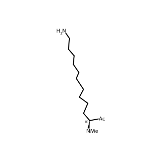 CN[C@@H](CCCCCCCCCCN)C(C)=O